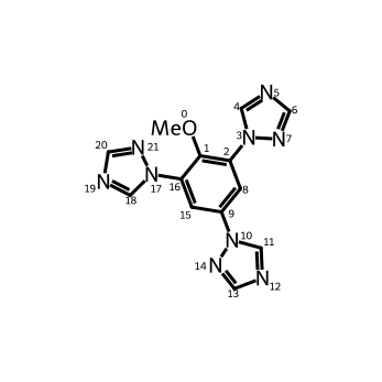 COc1c(-n2cncn2)cc(-n2cncn2)cc1-n1cncn1